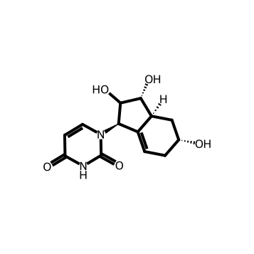 O=c1ccn([C@@H]2C3=CC[C@@H](O)C[C@@H]3[C@@H](O)C2O)c(=O)[nH]1